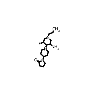 CCCN1CC(N)C(N2CCC(N3CCCC3=O)CC2)C(F)C1